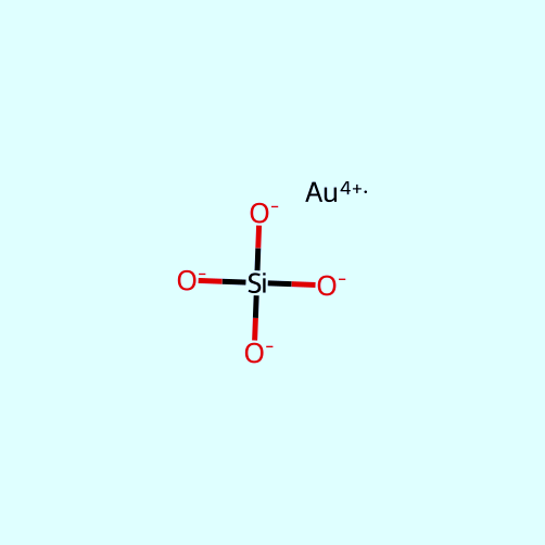 [Au+4].[O-][Si]([O-])([O-])[O-]